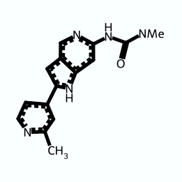 CNC(=O)Nc1cc2[nH]c(-c3ccnc(C)c3)cc2cn1